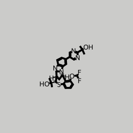 CC(C)(O)c1ncc(-c2ccc3nc4n(c3c2)[C@@H]2C[C@@H]4[C@H](C(C)(C)O)Sc3cccc(OC(F)F)c32)cn1